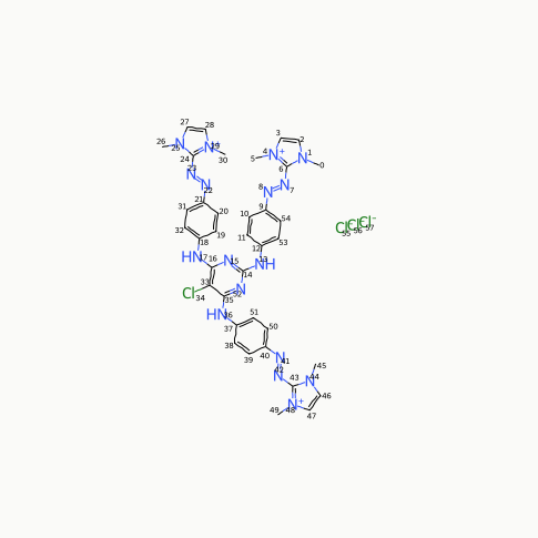 Cn1cc[n+](C)c1/N=N/c1ccc(Nc2nc(Nc3ccc(/N=N/c4n(C)cc[n+]4C)cc3)c(Cl)c(Nc3ccc(/N=N/c4n(C)cc[n+]4C)cc3)n2)cc1.[Cl-].[Cl-].[Cl-]